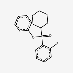 O=P(Oc1ccccc1)(c1ccccc1F)C1CCCCC1